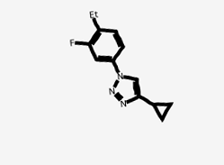 CCc1ccc(-n2cc(C3CC3)nn2)cc1F